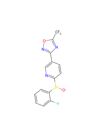 [O-][S+](c1ccc(-c2noc(C(F)(F)F)n2)cn1)c1ccccc1F